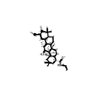 CCNC(=O)[C@@H]1CC(C)(C)C[C@H]2C1CC[C@]1(C)[C@@H]2C(=O)C=C2[C@@]3(C)C=C(C#N)C(=O)C(C)(C)C3CC[C@]21C